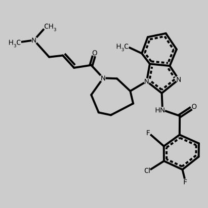 Cc1cccc2nc(NC(=O)c3ccc(F)c(Cl)c3F)n(C3CCCCN(C(=O)C=CCN(C)C)C3)c12